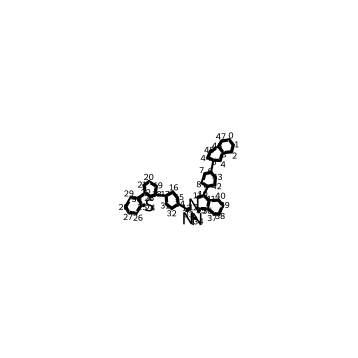 c1ccc2cc(-c3ccc(-c4cn5c(-c6ccc(-c7cccc8c7sc7ccccc78)cc6)nnc5c5ccccc45)cc3)ccc2c1